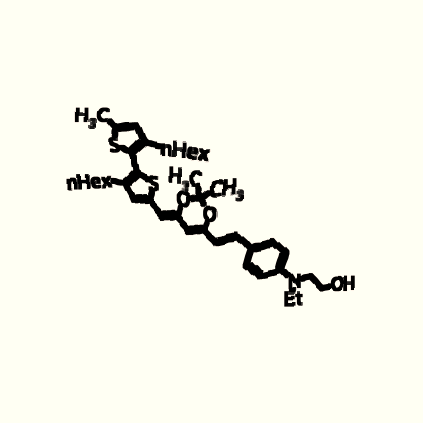 CCCCCCc1cc(C)sc1-c1sc(/C=C2C=C(/C=C/c3ccc(N(CC)CCO)cc3)OC(C)(C)O/2)cc1CCCCCC